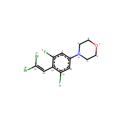 Fc1cc(N2CCOCC2)cc(F)c1C=C(Br)Br